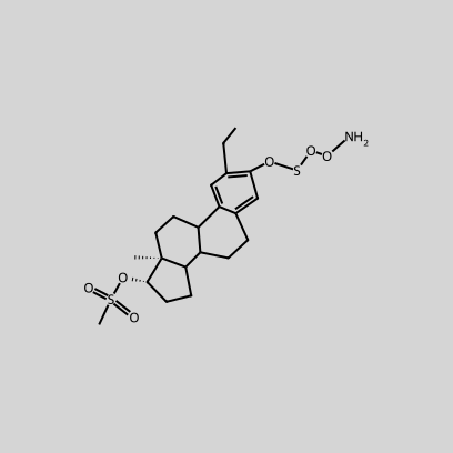 CCc1cc2c(cc1OSOON)CCC1C2CC[C@@]2(C)C1CC[C@@H]2OS(C)(=O)=O